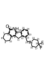 O=c1[nH]c2c(c3c1CCCC3)Cc1c(CN3CCC(F)(F)CC3)cccc1-2